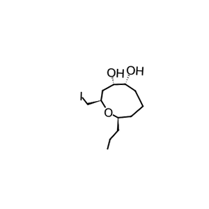 CCC[C@@H]1CCC[C@@H](O)[C@@H](O)C[C@H](CI)O1